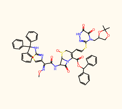 CON=C(C(=O)NC1C(=O)N2C(C(=O)OC(c3ccccc3)c3ccccc3)=C(C=CSc3n[nH]c(=O)c(=O)n3CC3COC(C)(C)O3)C[S+]([O-])C12)c1csc(NC(c2ccccc2)(c2ccccc2)c2ccccc2)n1